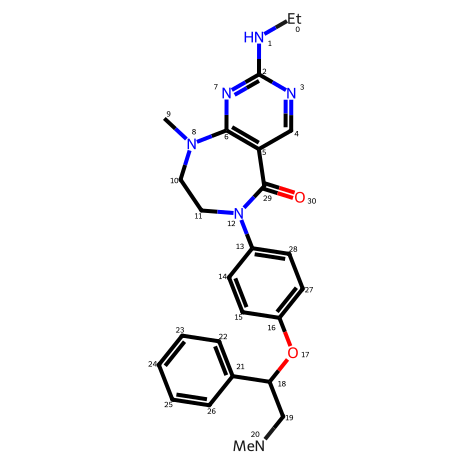 CCNc1ncc2c(n1)N(C)CCN(c1ccc(OC(CNC)c3ccccc3)cc1)C2=O